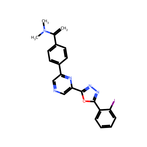 C=C(c1ccc(-c2cncc(-c3nnc(-c4ccccc4I)o3)n2)cc1)N(C)C